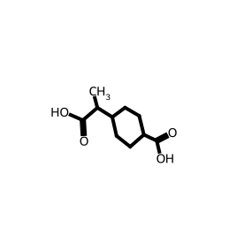 CC(C(=O)O)C1CCC(C(=O)O)CC1